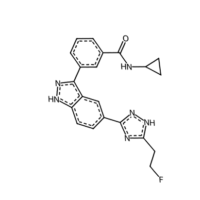 O=C(NC1CC1)c1cccc(-c2n[nH]c3ccc(-c4n[nH]c(CCF)n4)cc23)c1